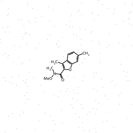 CON(C)C(=O)c1oc2cc(C)ccc2c1C